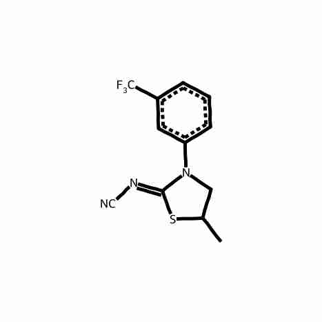 CC1CN(c2cccc(C(F)(F)F)c2)C(=NC#N)S1